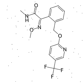 CNC(=O)/C(=N\OC)c1ccccc1COc1ccc(C(F)(F)F)cn1